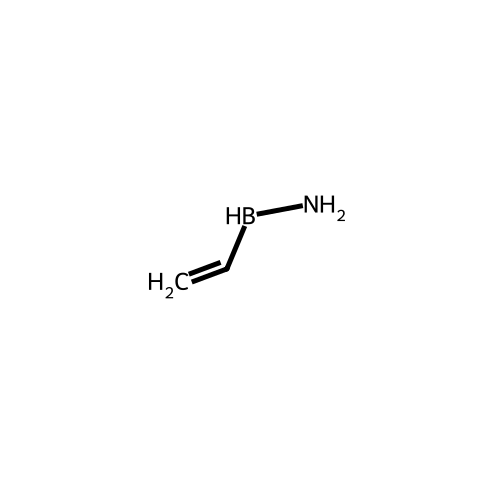 C=CBN